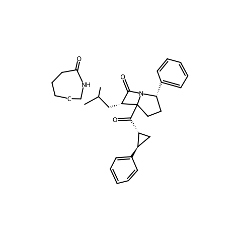 CC(C)C[C@@H]1C(=O)N2[C@H](c3ccccc3)CCC12C(=O)[C@@H]1C[C@H]1c1ccccc1.O=C1CCCCCN1